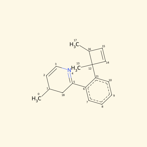 CC1C=CN=C(c2ccccc2C2(C)C=CC2C)C1